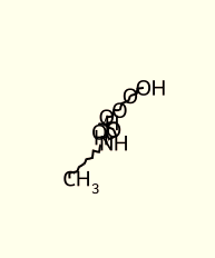 CCCCCCCCCCN[C@H]1CO[C@H]2[C@@H]1OC[C@H]2OCCOCCOCCO